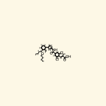 CCCCOC(CCC)c1cccc(-c2csc(NC(=O)c3cc(Cl)c(C=C(C)C(=O)O)c(Cl)c3)n2)c1F